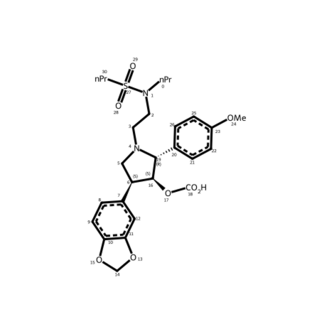 CCCN(CCN1C[C@H](c2ccc3c(c2)OCO3)[C@H](OC(=O)O)[C@H]1c1ccc(OC)cc1)S(=O)(=O)CCC